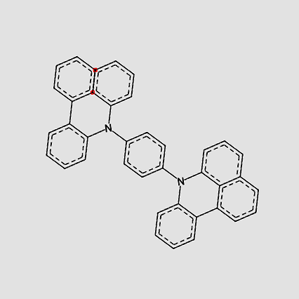 c1ccc(-c2ccccc2N(c2ccccc2)c2ccc(N3c4ccccc4-c4cccc5cccc3c45)cc2)cc1